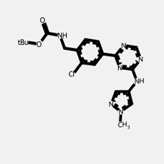 Cn1cc(Nc2ncnc(-c3ccc(CNC(=O)OC(C)(C)C)c(Cl)c3)n2)cn1